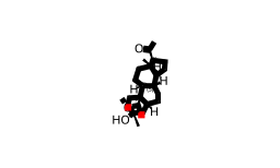 COC(C)[C@]12CC[C@@](C)(O)C[C@@H]1CC[C@H]1[C@@H]3CC[C@H](C(C)=O)[C@@]3(C)CC[C@@H]12